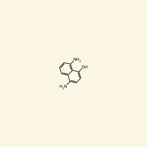 Nc1ccc(O)c2c(N)cccc12